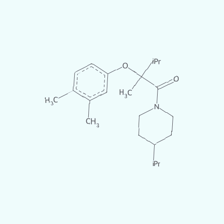 Cc1ccc(OC(C)(C(=O)N2CCC(C(C)C)CC2)C(C)C)cc1C